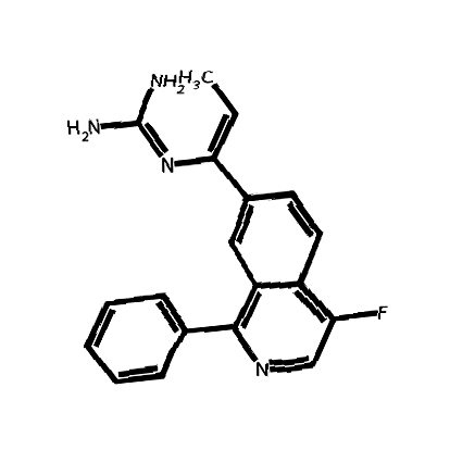 C/C=C(\N=C(N)N)c1ccc2c(F)cnc(-c3ccccc3)c2c1